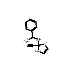 CC(NC1(C#N)NC=CS1)c1ccccc1